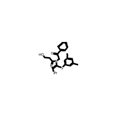 Cc1cc(C)cc(Sc2c(C(C)C)nc(CCO)n2CC(=O)c2ccccc2)c1